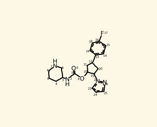 O=C(NC1CCCNC1)OC1CC(c2ccc(F)cc2)CC1n1cccn1